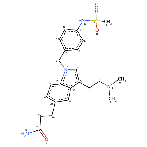 CN(C)CCc1cn(Cc2ccc(NS(C)(=O)=O)cc2)c2ccc(CCC(N)=O)cc12